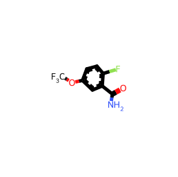 NC(=O)c1cc(OC(F)(F)F)ccc1F